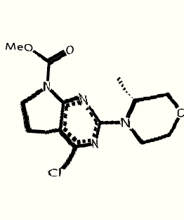 COC(=O)N1CCc2c(Cl)nc(N3CCOC[C@H]3C)nc21